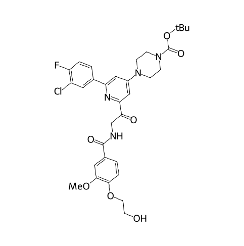 COc1cc(C(=O)NCC(=O)c2cc(N3CCN(C(=O)OC(C)(C)C)CC3)cc(-c3ccc(F)c(Cl)c3)n2)ccc1OCCO